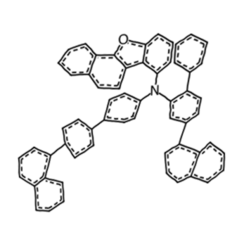 c1ccc(-c2ccc(-c3cccc4ccccc34)cc2N(c2ccc(-c3ccc(-c4cccc5ccccc45)cc3)cc2)c2cccc3oc4c5ccccc5ccc4c23)cc1